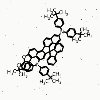 CC(C)(C)c1ccc(N(c2ccc(C(C)(C)C)cc2)c2ccc3c4c(ccc3c2)-c2c(cc(N(c3ccc(C(C)(C)C)cc3)c3ccc(C(C)(C)C)cc3)c3c2ccc2oc5ccccc5c23)C42c3ccccc3-c3ccccc32)cc1